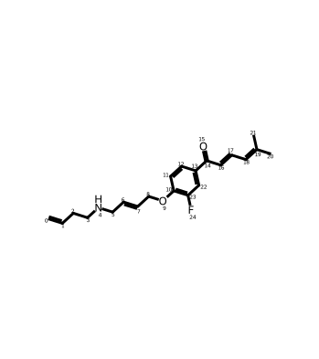 C=CCCNCC=CCOc1ccc(C(=O)C=CC=C(C)C)cc1F